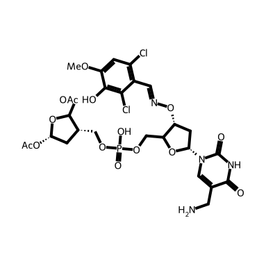 COc1cc(Cl)c(/C=N/O[C@@H]2C[C@H](n3cc(CN)c(=O)[nH]c3=O)OC2COP(=O)(O)OC[C@@H]2C[C@H](OC(C)=O)OC2OC(C)=O)c(Cl)c1O